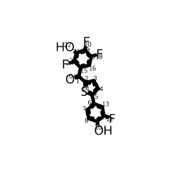 O=C(c1ccc(-c2ccc(O)c(F)c2)s1)c1cc(F)c(F)c(O)c1F